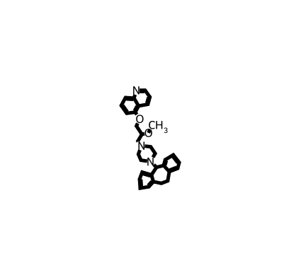 COC(COc1cccc2ncccc12)CN1CCN(C2c3ccccc3CCc3ccccc32)CC1